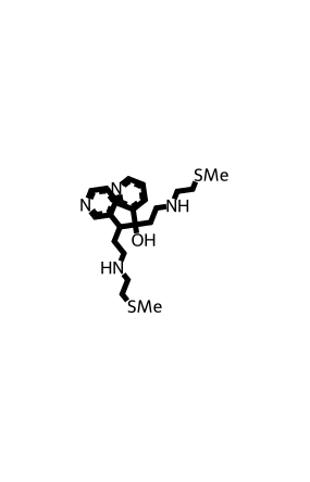 CSCCNCCC(c1cccnc1)C(O)(CCNCCSC)c1cccnc1